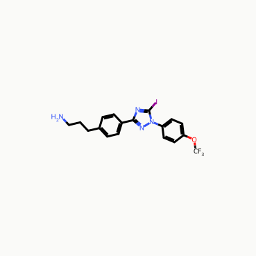 NCCCc1ccc(-c2nc(I)n(-c3ccc(OC(F)(F)F)cc3)n2)cc1